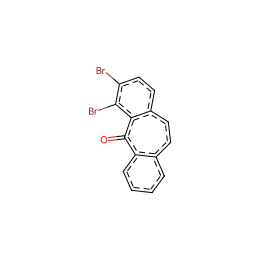 O=c1c2ccccc2ccc2ccc(Br)c(Br)c12